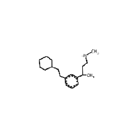 CNCCC(C)c1cccc(CCC2CCCCC2)c1